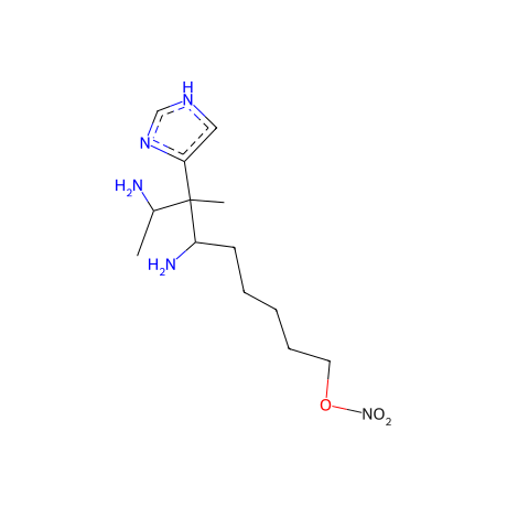 CC(N)C(C)(c1c[nH]cn1)C(N)CCCCCO[N+](=O)[O-]